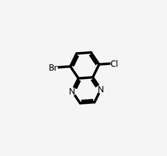 Clc1ccc(Br)c2nccnc12